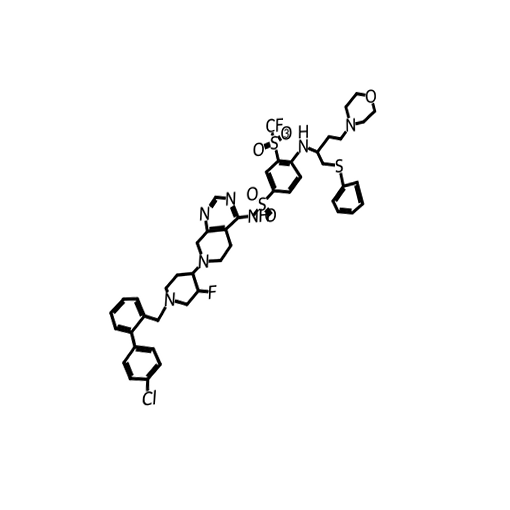 O=S(=O)(Nc1ncnc2c1CCN(C1CCN(Cc3ccccc3-c3ccc(Cl)cc3)CC1F)C2)c1ccc(NC(CCN2CCOCC2)CSc2ccccc2)c(S(=O)(=O)C(F)(F)F)c1